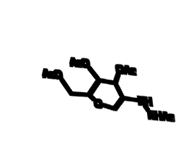 CC(=O)NNC1COC(COC(C)=O)C(OC(C)=O)C1OC(C)=O